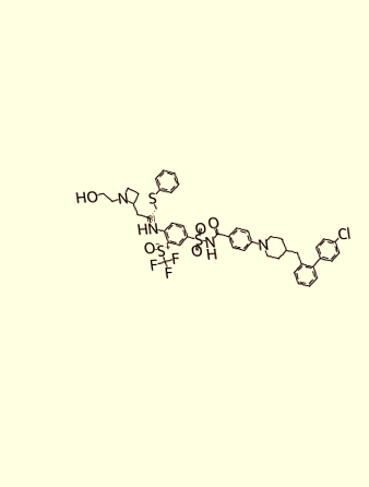 O=C(NS(=O)(=O)c1ccc(N[C@@H](CSc2ccccc2)CC2CCN2CCO)c([S+]([O-])C(F)(F)F)c1)c1ccc(N2CCC(Cc3ccccc3-c3ccc(Cl)cc3)CC2)cc1